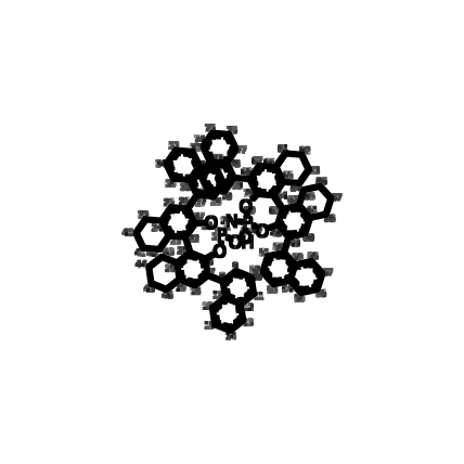 O=P1(N=P2(O)Oc3c(-c4cccc5ccccc45)cc4c(c3-c3c5c(cc(-c6cccc7ccccc67)c3O2)CCCC5)CCCC4)Oc2c(-c3cccc4ccccc34)cc3c(c2-c2c4c(cc(-c5cccc6ccccc56)c2O1)CCCC4)CCCC3